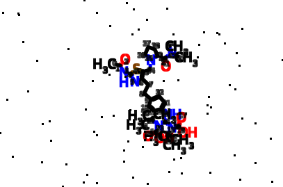 CC(=O)Nc1nc(CCc2ccc(NC(N(C(=O)O)C(C)(C)C)N(C(=O)O)C(C)(C)C)cc2)c(CN2CCC[C@H]2C(=O)N(C)C)s1